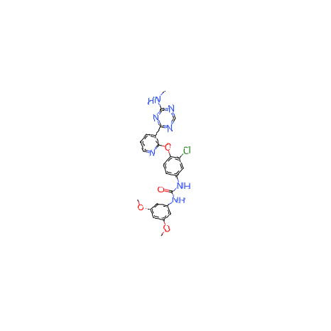 CNc1ncnc(-c2cccnc2Oc2ccc(NC(=O)Nc3cc(OC)cc(OC)c3)cc2Cl)n1